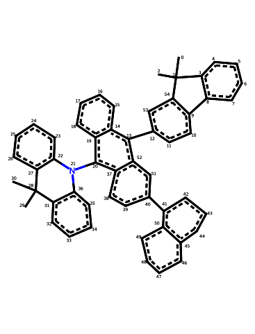 CC1(C)c2ccccc2-c2ccc(-c3c4ccccc4c(N4c5ccccc5C(C)(C)c5ccccc54)c4ccc(-c5cccc6ccccc56)cc34)cc21